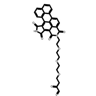 O=C(C=S)CCOCCOCCOCCN1C(=O)c2ccc3c4cccc5cccc(c54)c4c5c(=O)[nH]c(=O)c5c(c2c34)C1=O